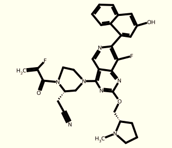 C=C(F)C(=O)N1CCN(c2nc(OC[C@@H]3CCCN3C)nc3c(F)c(-c4cc(O)cc5ccccc45)ncc23)C[C@@H]1CC#N